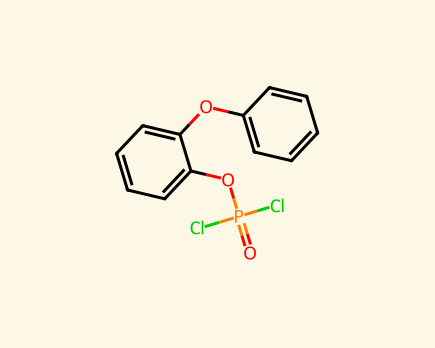 O=P(Cl)(Cl)Oc1ccccc1Oc1ccccc1